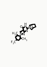 Cc1cc(C(F)(F)F)cc(C)c1-n1cc2c(=O)[nH]c(N3CC4CCC(C3)O4)nc2n1